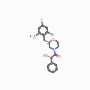 Cc1cc(Cl)cc(Br)c1C[C@@H]1CN(C(=O)[C@H](O)c2ccccc2)CCO1